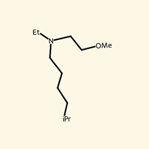 CCN(CCCCC(C)C)CCOC